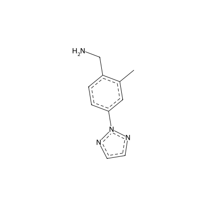 Cc1cc(-n2nccn2)ccc1CN